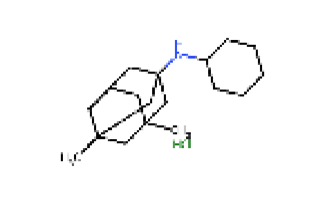 CC12CC3CC(C)(C1)CC(NC1CCCCC1)(C3)C2.Cl